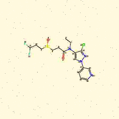 CCN(C(=O)CC[S+]([O-])CCC(F)F)c1cn(-c2cccnc2)nc1Cl